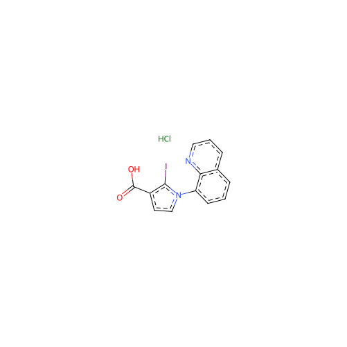 Cl.O=C(O)c1ccn(-c2cccc3cccnc23)c1I